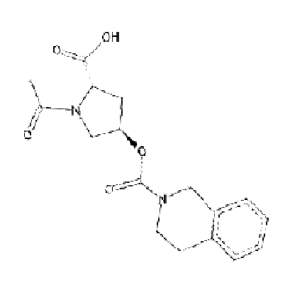 CC(=O)N1C[C@H](OC(=O)N2CCc3ccccc3C2)C[C@H]1C(=O)O